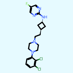 Fc1cnc(N[C@H]2C[C@H](CCN3CCN(c4cccc(Cl)c4Cl)CC3)C2)nc1